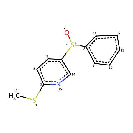 CSc1ccc([S+]([O-])c2ccccc2)cn1